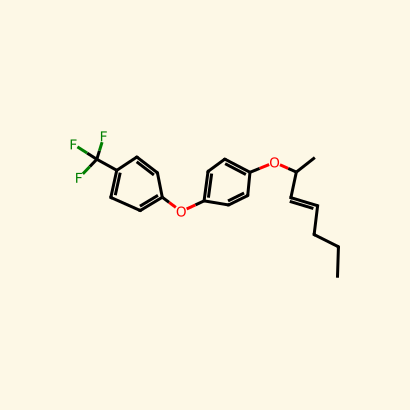 CCCC=CC(C)Oc1ccc(Oc2ccc(C(F)(F)F)cc2)cc1